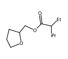 CCC(C(=O)OCC1CCCO1)C(C)C